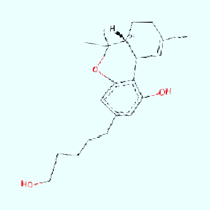 CC1=CC2c3c(O)cc(CCCCCO)cc3OC(C)(C)[C@@H]2CC1